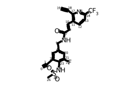 C#Cc1cc(CNC(=O)C=Cc2ccc(C(F)(F)F)nc2C#C)cc(F)c1NS(C)(=O)=O